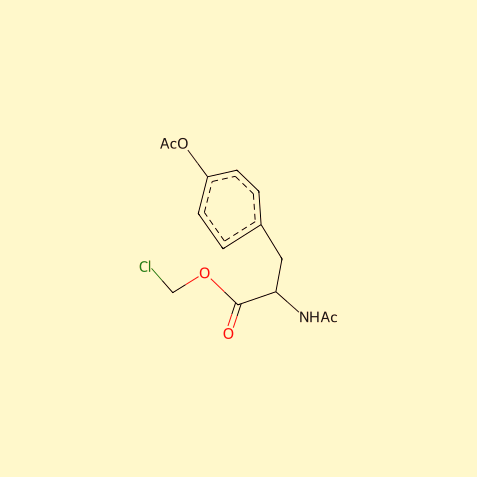 CC(=O)NC(Cc1ccc(OC(C)=O)cc1)C(=O)OCCl